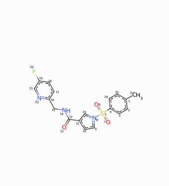 Cc1ccc(S(=O)(=O)n2ccc(C(=O)NCc3ccc(F)cn3)c2)cc1